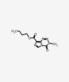 CCCCOC(=O)c1ncn2c(=O)n(C)nnc12